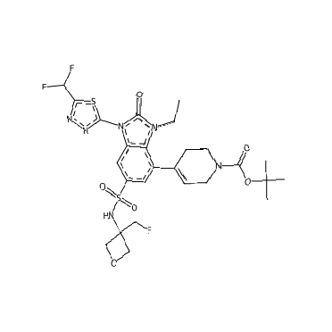 CCn1c(=O)n(-c2nnc(C(F)F)s2)c2cc(S(=O)(=O)NC3(CF)COC3)cc(C3=CCN(C(=O)OC(C)(C)C)CC3)c21